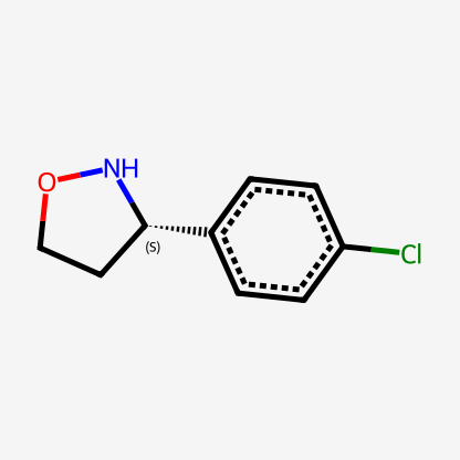 Clc1ccc([C@@H]2CCON2)cc1